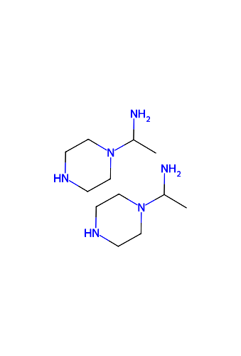 CC(N)N1CCNCC1.CC(N)N1CCNCC1